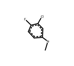 C[N]c1ccc(F)c(Cl)c1